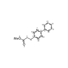 COC(=O)CCc1nnc(-c2ccccc2)nn1